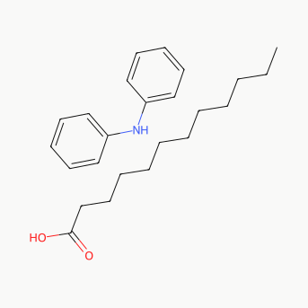 CCCCCCCCCCCC(=O)O.c1ccc(Nc2ccccc2)cc1